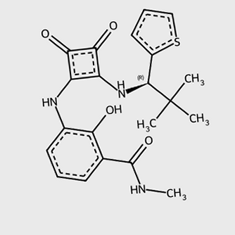 CNC(=O)c1cccc(Nc2c(N[C@@H](c3cccs3)C(C)(C)C)c(=O)c2=O)c1O